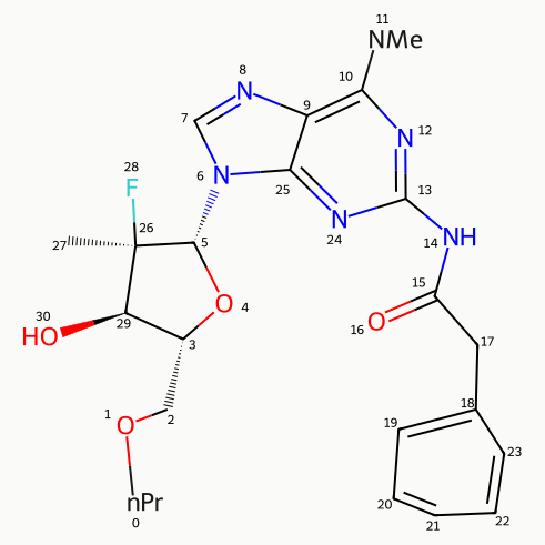 CCCOC[C@H]1O[C@@H](n2cnc3c(NC)nc(NC(=O)Cc4ccccc4)nc32)[C@](C)(F)[C@@H]1O